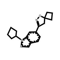 c1cc2cnn(C3CCCC3)c2cc1C1=NOC2(CCC2)C1